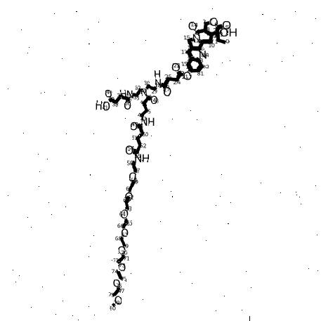 CC[C@@]1(O)C(=O)OCc2c1cc1n(c2=O)Cc2cc3cc(OC(=O)CCC(=O)NCCN(CCNC(=O)CCC(=O)O)C(=O)CCCNC(=O)CCCC(=O)NCCOCCOCCOCCOCCOCCOCCOCCOC)ccc3nc2-1